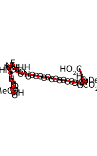 CCCCCCCCCCCN(C(=O)CCCCCCCCCC(=O)O)[C@@H](CCC(=O)NCCOCCOCCOCCOCCOCCOCCOCCOCCOCCOCCOCCOCCC(=O)NCCCC(=O)OC(C)(C)c1ccc(C(=O)Nc2cc(F)cc(-c3ncnc4[nH]c(-c5ccc(CCN6CCC7(CC6)CCN(C(=O)c6ccc(OC)c(N8CCC(=O)NC8=O)c6)CC7)cc5)cc34)c2C)c(F)c1)C(=O)O